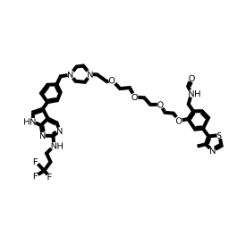 Cc1ncsc1-c1ccc(CNC=O)c(OCCOCCOCCOCCN2CCN(Cc3ccc(-c4c[nH]c5nc(NCCC(F)(F)F)ncc45)cc3)CC2)c1